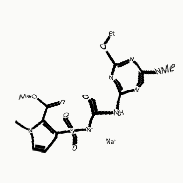 CCOc1nc(NC)nc(NC(=O)[N-]S(=O)(=O)c2ccn(C)c2C(=O)OC)n1.[Na+]